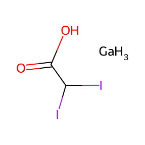 O=C(O)C(I)I.[GaH3]